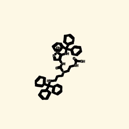 Cn1ncc(NC(=O)N(CCCNC(c2ccccc2)(c2ccccc2)c2ccccc2)CCNC(=O)O)c1NC(c1ccccc1)(c1ccccc1)c1ccccc1